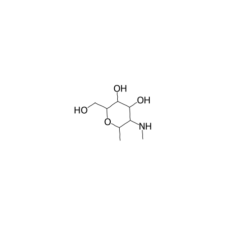 CNC1C(C)OC(CO)C(O)C1O